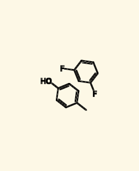 Cc1ccc(O)cc1.Fc1cccc(F)c1